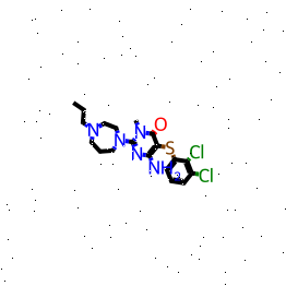 CCCN1CCCN(c2nc(N)c(Sc3cccc(Cl)c3Cl)c(=O)n2C)CC1